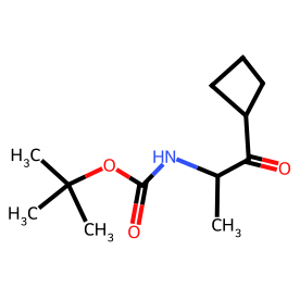 CC(NC(=O)OC(C)(C)C)C(=O)C1CCC1